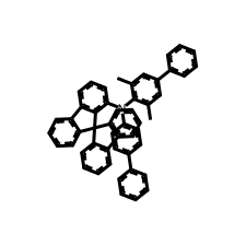 Cc1cc(-c2ccccc2)cc(C)c1N(c1ccc(-c2ccccc2)cc1)c1cccc2c1C1(c3ccccc3-c3ccccc31)c1ccccc1-2